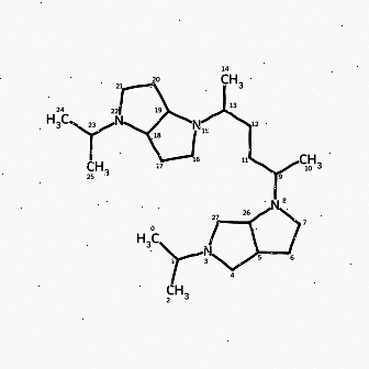 CC(C)N1CC2CCN(C(C)CCC(C)N3CCC4C3CCN4C(C)C)C2C1